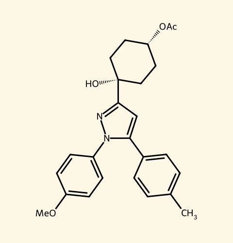 COc1ccc(-n2nc([C@]3(O)CC[C@@H](OC(C)=O)CC3)cc2-c2ccc(C)cc2)cc1